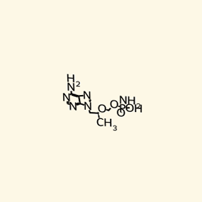 C[C@@H](Cn1cnc2c(N)ncnc21)OCOP(N)(=O)O